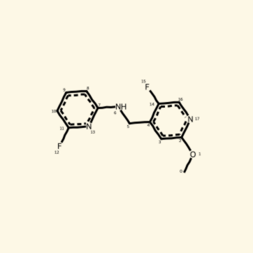 COc1cc(CNc2cccc(F)n2)c(F)cn1